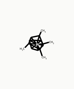 C[C]12[CH]3[C]4(C)[C]5(C)[C]1(C)[Fe]32451678[CH]2[CH]1[CH]6[CH]7[CH]28